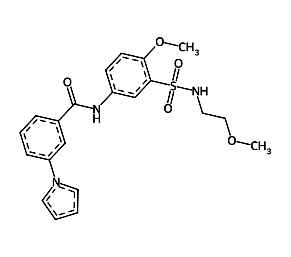 COCCNS(=O)(=O)c1cc(NC(=O)c2cccc(-n3cccc3)c2)ccc1OC